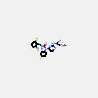 COCC(C)Nc1nccc(N(C(=O)NCc2c(Cl)cccc2Cl)c2ccc(F)cc2)n1